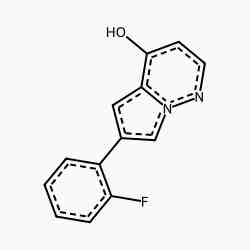 Oc1ccnn2cc(-c3ccccc3F)cc12